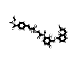 CCN(C)C(=O)c1ccc(C=CC(=O)NCC(=O)N(C)c2ccc(Cl)c(COc3cccc4ccc(C)nc34)c2Cl)cc1